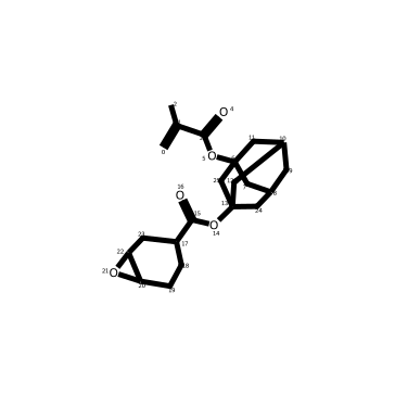 C=C(C)C(=O)OC12CC3CC(C1)CC(OC(=O)C1CCC4OC4C1)(C3)C2